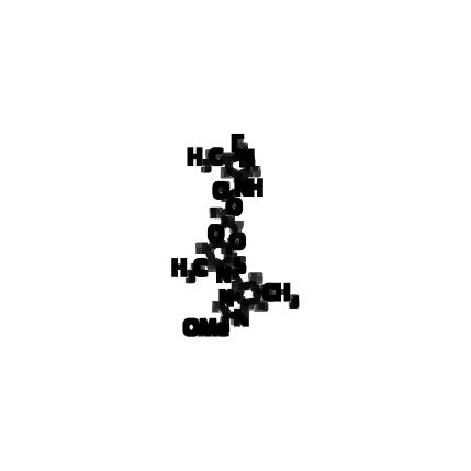 COc1cnc2c(-c3nc4c(C)cc5c(c4s3)OCC(COC(=O)Nc3cnc(F)c(C)c3)O5)cc(C)cc2n1